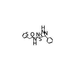 O=C(Cc1cccs1)Nc1nc2[nH]nc(-c3ccccc3)c2s1